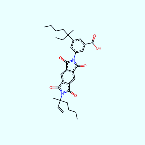 C=CC(C)(CCCC)n1c(=O)c2cc3c(=O)n(-c4cc(C(=O)O)cc(C(C)(CC)CCCC)c4)c(=O)c3cc2c1=O